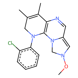 CON1C=C2C=NC3=C(N2C1)N(c1ccccc1Cl)CC(C)=C3C